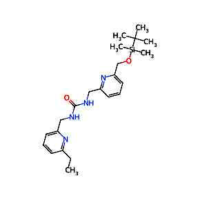 CCc1cccc(CNC(=O)NCc2cccc(CO[Si](C)(C)C(C)(C)C)n2)n1